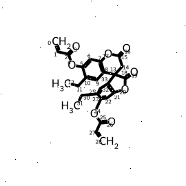 C=CC(=O)Oc1cc2c(cc1CC)C1(CC(=O)O2)C(=O)Oc2cc(OC(=O)C=C)c(CC)cc21